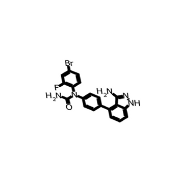 NC(=O)N(c1ccc(-c2cccc3[nH]nc(N)c23)cc1)c1ccc(Br)cc1F